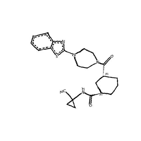 N#CC1(NC(=O)[C@@H]2CCC[C@@H](C(=O)N3CCN(c4nc5ccccc5s4)CC3)C2)CC1